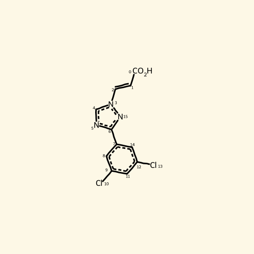 O=C(O)C=Cn1cnc(-c2cc(Cl)cc(Cl)c2)n1